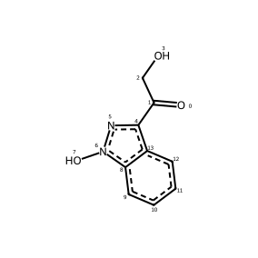 O=C(CO)c1nn(O)c2ccccc12